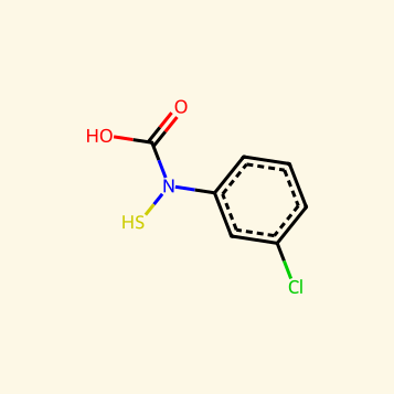 O=C(O)N(S)c1cccc(Cl)c1